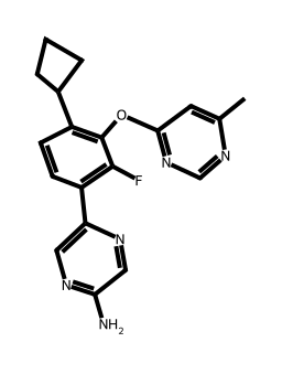 Cc1cc(Oc2c(C3CCC3)ccc(-c3cnc(N)cn3)c2F)ncn1